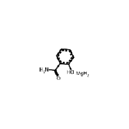 NC(=O)c1ccccc1O.[MgH2]